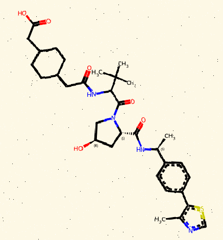 Cc1ncsc1-c1ccc([C@H](C)NC(=O)[C@@H]2C[C@@H](O)CN2C(=O)C(NC(=O)CC2CCC(CC(=O)O)CC2)C(C)(C)C)cc1